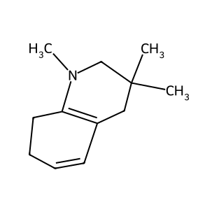 CN1CC(C)(C)CC2=C1CCC=C2